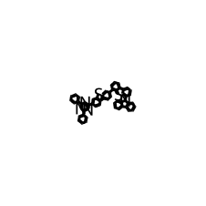 c1ccc(-c2nc(-c3ccccc3)nc(-c3ccc4c(c3)sc3cc(-c5cccc6c5sc5c(-n7c8ccccc8c8ccccc87)cccc56)ccc34)n2)cc1